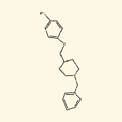 CC(C)c1ccc(OCC2CCN(Cc3ccccn3)CC2)cc1